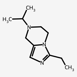 CCc1ncc2n1CCN(C(C)C)C2